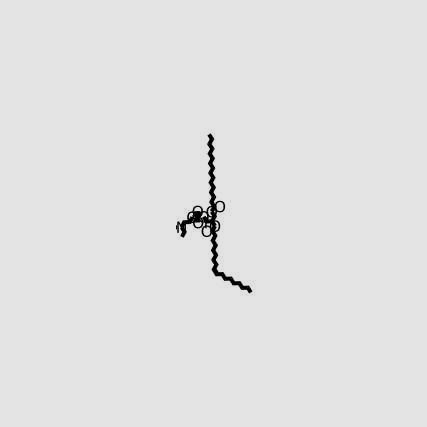 CCCCCCCC/C=C\CCCCCCCC(=O)OC(COC(=O)CCCCCCCCCCCCCCC)COP(=O)(O)OCCN(C)CC